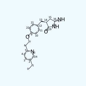 CCc1ccc(CCOc2ccc(C[C@H]3CC(=N)NC3=O)cc2)nc1